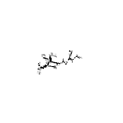 CCCC(=O)OCC1CC(=C(C)C)C1(C)C